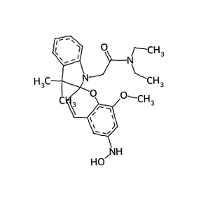 CCN(CC)C(=O)CN1c2ccccc2C(C)(C)C12C=Cc1cc(NO)cc(OC)c1O2